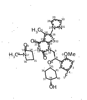 COc1ccc(F)cc1[C@H](Cn1c(=O)n([C@@H]2CCN(C)C2=O)c(=O)c2c(C)c(-n3cccn3)sc21)O[C@H]1CC[C@H](O)CC1